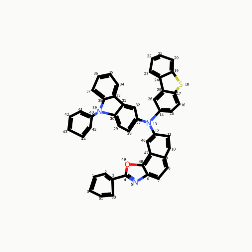 c1ccc(-c2nc3ccc4ccc(N(c5ccc6sc7ccccc7c6c5)c5ccc6c(c5)c5ccccc5n6-c5ccccc5)cc4c3o2)cc1